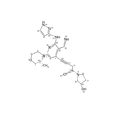 C[C@@H]1COCCN1c1cc(C#CCC(=O)N2CCC(O)C2)c(C=N)c(Nc2cc[nH]n2)n1